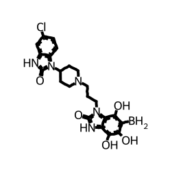 Bc1c(O)c(O)c2[nH]c(=O)n(CCCN3CCC(n4c(=O)[nH]c5cc(Cl)ccc54)CC3)c2c1O